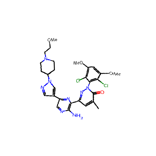 COCCN1CCC(n2cc(-c3cnc(N)c(-c4cc(C)c(=O)n(-c5c(Cl)c(OC)cc(OC)c5Cl)n4)n3)cn2)CC1